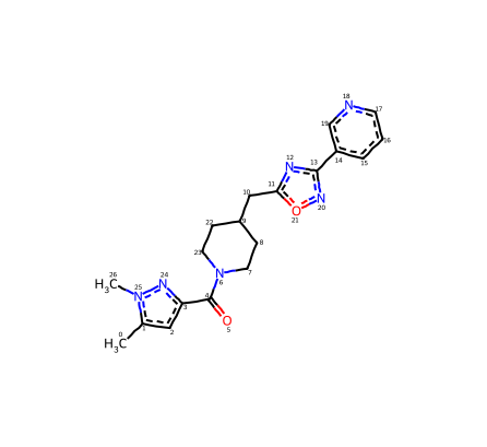 Cc1cc(C(=O)N2CCC(Cc3nc(-c4cccnc4)no3)CC2)nn1C